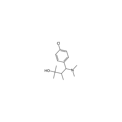 CC(C(c1ccc(Cl)cc1)N(C)C)C(C)(C)O